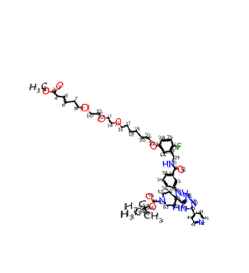 COC(=O)CCCCCOCCOCCOCCCCCCOc1ccc(F)c(CNC(=O)c2cccc(NC3(c4nnc(-c5ccncc5)[nH]4)CCN(C(=O)OC(C)(C)C)CC3)c2)c1